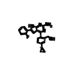 Nc1nc(-c2ccc([C]3CC3)cc2CO)c2cc(-c3ccccc3F)[nH]c2n1